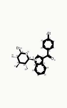 CCc1ccc(C(=O)c2cn([C@@H]3O[C@H](CC)[C@@H](C)[C@H](C)[C@H]3C)c3ccccc23)cc1